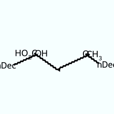 CCCCCCCCCCCCCCCCCCCCCCCCC(C(=O)O)[C@H](O)CCCCCCCCCCCCCCCC1CC1CCCCCCCCCCCCCCCCCCC(=O)C(C)CCCCCCCCCCCCCCCCCC